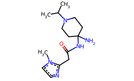 CC(C)N1CCC(N)(NC(=O)Cc2nccn2C)CC1